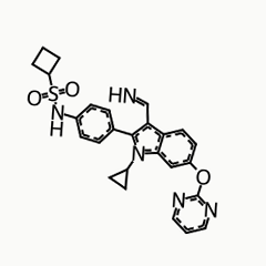 N=Cc1c(-c2ccc(NS(=O)(=O)C3CCC3)cc2)n(C2CC2)c2cc(Oc3ncccn3)ccc12